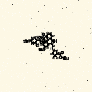 CC(C)(C)OC(=O)N1C[C@@H](CCC(Nc2cccc(S(=O)(=O)NC(=O)c3cnc(C(C)(C)C)nc3Cl)n2)c2cc(C(C)(C)C)ccn2)CC1(C)C